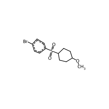 COC1CCC(S(=O)(=O)c2ccc(Br)cc2)CC1